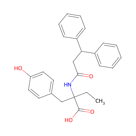 CCC(Cc1ccc(O)cc1)(NC(=O)CC(c1ccccc1)c1ccccc1)C(=O)O